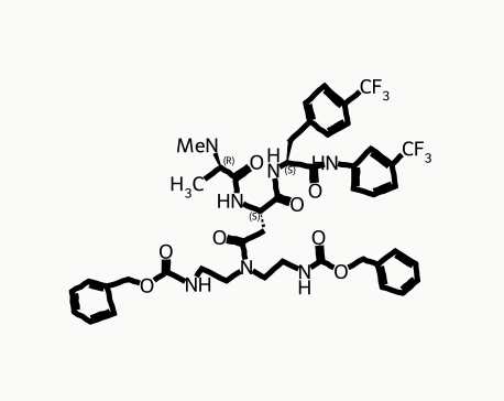 CN[C@H](C)C(=O)N[C@@H](CC(=O)N(CCNC(=O)OCc1ccccc1)CCNC(=O)OCc1ccccc1)C(=O)N[C@@H](Cc1ccc(C(F)(F)F)cc1)C(=O)Nc1cccc(C(F)(F)F)c1